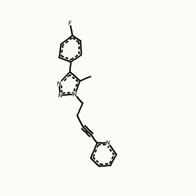 Cc1c(-c2ccc(F)cc2)nnn1CCC#Cc1ccccn1